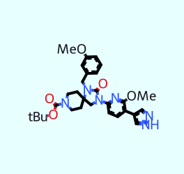 COc1cccc(CN2C(=O)N(c3ccc(-c4cn[nH]c4)c(OC)n3)CC23CCN(C(=O)OC(C)(C)C)CC3)c1